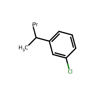 CC(C)C(C)c1cccc(Cl)c1